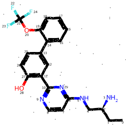 CC[C@H](N)CNc1ccnc(-c2cc(-c3ccccc3OC(F)(F)F)ccc2O)n1